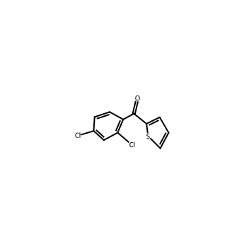 O=C(c1cccs1)c1ccc(Cl)cc1Cl